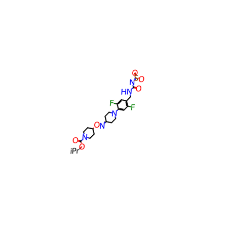 CC(C)OC(=O)N1CCC(ON=C2CCN(c3cc(F)c(CNC(=O)N=S(=O)=O)cc3F)CC2)CC1